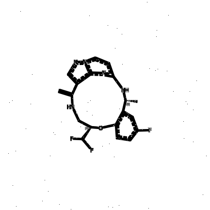 C=C1NC[C@H](C(F)F)Oc2ccc(F)cc2[C@@H](C)Nc2ccn3ncc1c3n2